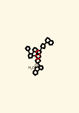 CC1(C)c2ccccc2-c2cccc(-c3ccc(N(c4ccc(-c5ccc(-c6cccc7ccccc67)cc5)cc4)c4cccc(-c5ccccc5)c4-c4ccccc4-c4ccccc4)cc3)c21